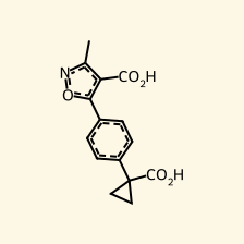 Cc1noc(-c2ccc(C3(C(=O)O)CC3)cc2)c1C(=O)O